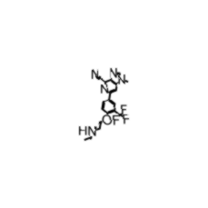 CCNCCOc1ccc(-c2cc3c(ncn3C)c(C#N)n2)cc1C(F)(F)F